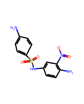 Nc1ccc(S(=O)(=O)Nc2ccc(N)c([N+](=O)[O-])c2)cc1